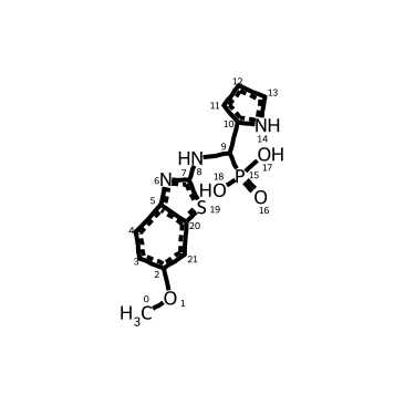 COc1ccc2nc(NC(c3ccc[nH]3)P(=O)(O)O)sc2c1